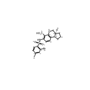 O=C(O)c1c(NS(=O)(=O)c2ccc(F)cc2Br)ccc2c1OC[C@H]1CCCN21